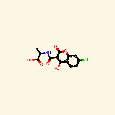 CC(NC(=O)c1c(O)c2ccc(Cl)cc2oc1=O)C(=O)O